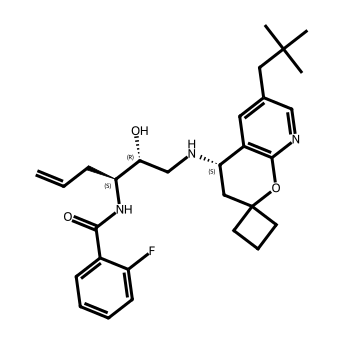 C=CC[C@H](NC(=O)c1ccccc1F)[C@H](O)CN[C@H]1CC2(CCC2)Oc2ncc(CC(C)(C)C)cc21